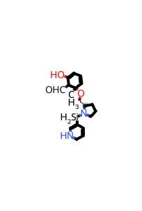 CC1(OC[C@@H]2CCCN2[SiH2]C2=CNCC=C2)C=CC=C(O)C1C=O